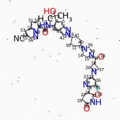 CC(C)(O)c1cc2nn(C3CCC(N4CCN(C(=O)C5CN(c6cnc(C7CCC(=O)NC7=O)c(F)c6)C5)CC4)CC3)cc2cc1NC(=O)c1ccc2cc(C#N)cnn12